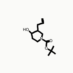 C=CCC1CN(C(=O)OC(C)(C)C)CCC1O